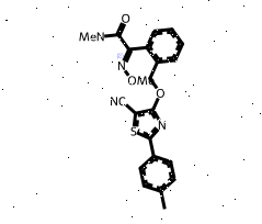 CNC(=O)/C(=N/OC)c1ccccc1COc1nc(-c2ccc(C)cc2)sc1C#N